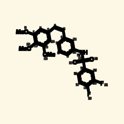 COc1cc(/C=C\c2cccc(NS(=O)(=O)c3ccc(F)c(F)c3)c2)cc(OC)c1OC